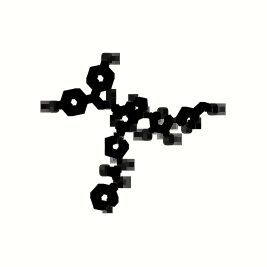 O=C(Nc1cccnc1)N[C@@H]1CCN(c2nc(NCC(c3ccc(O)cc3)c3ccc(O)cc3)c3ncn([C@@H]4O[C@H](c5cc(CO)no5)[C@@H](O)[C@@H]4O)c3n2)C1